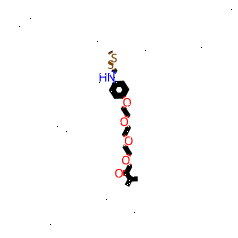 CSSCNc1ccc(OCCOCCOCCOCC(=O)C(C)C)cc1